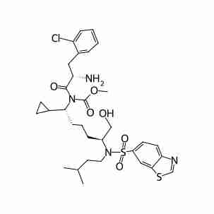 COC(=O)N(C(=O)[C@@H](N)Cc1ccccc1Cl)[C@H](CCC[C@@H](CO)N(CCC(C)C)S(=O)(=O)c1ccc2ncsc2c1)C1CC1